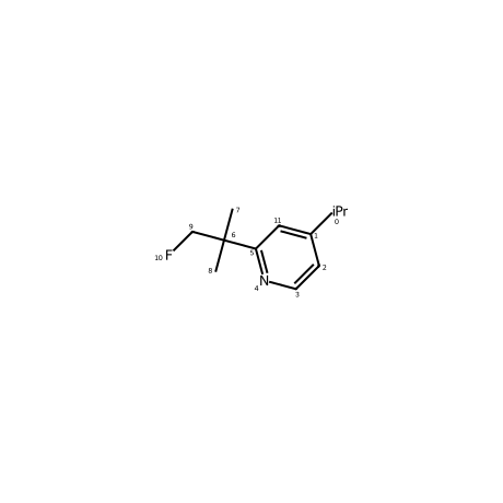 CC(C)c1ccnc(C(C)(C)CF)c1